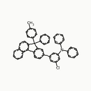 Cc1ccc(C2(c3ccccc3)c3cc(-c4cc(Cl)cc(N(c5ccccc5)c5ccccc5)c4)ccc3-c3c2ccc2ccccc32)cc1